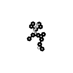 c1ccc(-c2ccc3c(c2)c2cc4c5cc(-c6ccc7oc8ccccc8c7c6)ccc5c5ccccc5c4cc2n3-c2cc(-c3cccc4cccnc34)nc(-c3cccc4ccccc34)n2)cc1